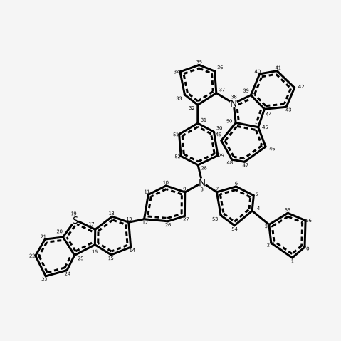 c1ccc(-c2ccc(N(c3ccc(-c4ccc5c(c4)sc4ccccc45)cc3)c3ccc(-c4ccccc4-n4c5ccccc5c5ccccc54)cc3)cc2)cc1